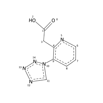 O=C(O)Cc1ncccc1-n1cnnn1